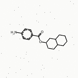 Nc1ccc(C(=O)OC2CCC3CCCCC3C2)cc1